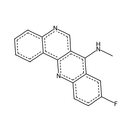 CNc1c2cc(F)ccc2nc2c1cnc1ccccc12